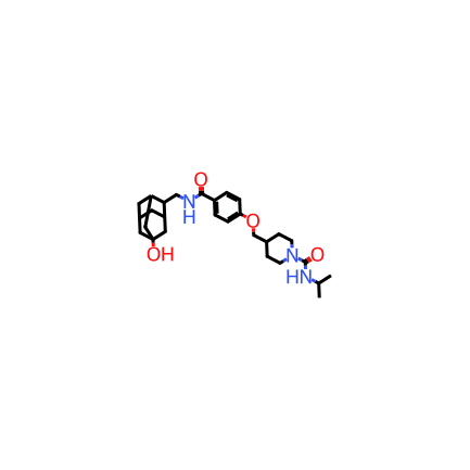 CC(C)NC(=O)N1CCC(COc2ccc(C(=O)NCC3C4CC5CC3CC(O)(C5)C4)cc2)CC1